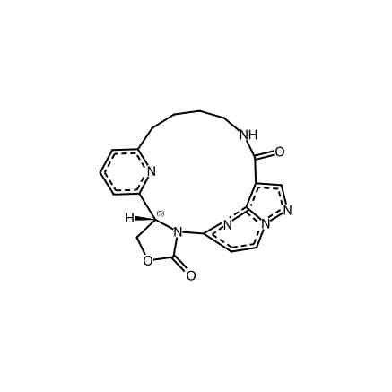 O=C1NCCCCc2cccc(n2)[C@H]2COC(=O)N2c2ccn3ncc1c3n2